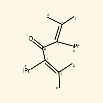 CC(C)=C(C(=O)C(=C(C)C)C(C)C)C(C)C